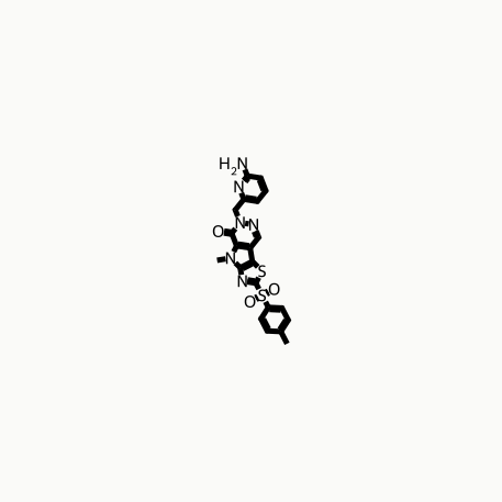 Cc1ccc(S(=O)(=O)c2nc3c(s2)c2cnn(Cc4cccc(N)n4)c(=O)c2n3C)cc1